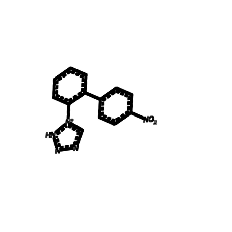 O=[N+]([O-])c1ccc(-c2ccccc2-[n+]2cnn[nH]2)cc1